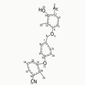 CC(=O)c1ccc(OCc2ccc(Oc3cccc(C#N)c3C)cc2)c(C)c1O